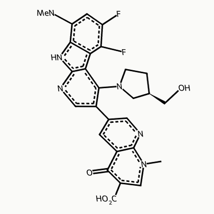 CNc1cc(F)c(F)c2c1[nH]c1ncc(-c3cnc4c(c3)c(=O)c(C(=O)O)cn4C)c(N3CC[C@@H](CO)C3)c12